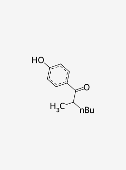 CCCCC(C)C(=O)c1ccc(O)cc1